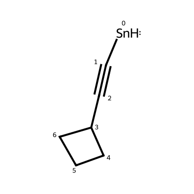 [SnH][C]#CC1CCC1